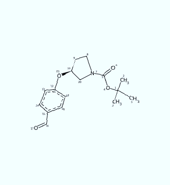 CC(C)(C)OC(=O)N1CC[C@H](Oc2ccc(C=O)cc2)C1